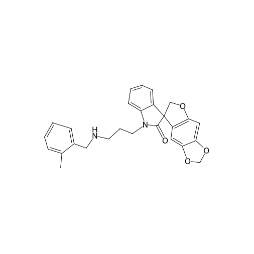 Cc1ccccc1CNCCCN1C(=O)C2(COc3cc4c(cc32)OCO4)c2ccccc21